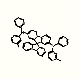 Cc1cccc(N(C2=CCC3C(=C2)C2(c4ccccc4-c4ccccc42)c2cc(N(c4ccccc4)c4cccc(C)c4)ccc23)c2ccccc2)c1